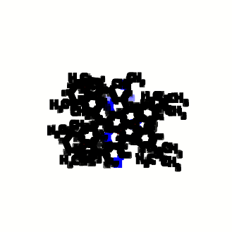 C=N/C=C(\C(=C(/C)c1ccccc1)N1c2cc3c(cc2B2c4cc5c(cc4N(c4c(-c6ccccc6)cncc4-c4ccccc4)c4cc(-n6c7ccc([Si](C)(C)C)cc7c7cc([Si](C)(C)C)ccc76)cc1c42)C(C)(C)CCC5(C)C)C(C)(C)CCC3(C)C)c1ccccc1